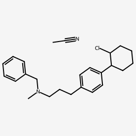 CC#N.CN(CCCc1ccc(C2CCCCC2Cl)cc1)Cc1ccccc1